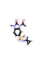 CC(=O)n1c(=O)n(C)c2ccc(S(=O)(=O)NC3(C)CC3)cc21